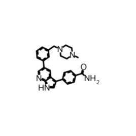 CN1CCN(Cc2cccc(-c3cnc4[nH]cc(-c5ccc(C(N)=O)cc5)c4c3)c2)CC1